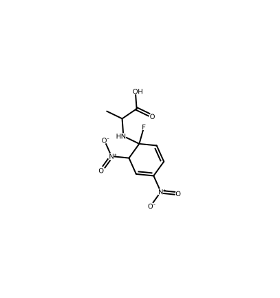 CC(NC1(F)C=CC([N+](=O)[O-])=CC1[N+](=O)[O-])C(=O)O